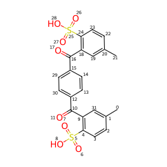 Cc1ccc(S(=O)(=O)O)c(C(=O)c2ccc(C(=O)c3cc(C)ccc3S(=O)(=O)O)cc2)c1